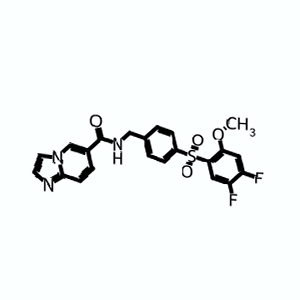 COc1cc(F)c(F)cc1S(=O)(=O)c1ccc(CNC(=O)c2ccc3nccn3c2)cc1